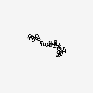 N#Cc1c(NS(=O)(=O)N2CC[C@@H](F)C2)ccc(F)c1Oc1ccc2ncn(-c3cnc(N4CCC(CN5CCC(c6ccc7c(c6)CN(C6CCC(=O)NC6=O)C7=O)CC5)CC4)nc3)c(=O)c2c1